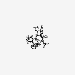 CC[Si](CC)(CC)OC1=C(C)[C@@H](C2CC2)O[C@@H](c2ccncc2[N+](=O)[O-])C1